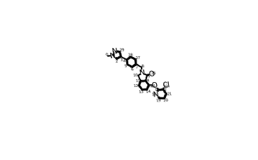 Cn1cc(-c2ccc(CN3Cc4cccc(Oc5ncccc5Cl)c4C3=O)cc2)cn1